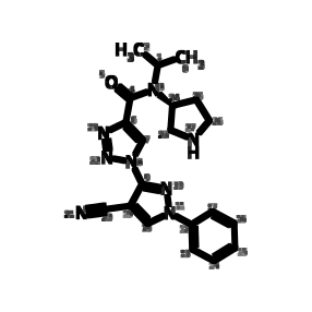 CC(C)N(C(=O)c1cn(-c2nn(-c3ccccc3)cc2C#N)nn1)[C@H]1CCNC1